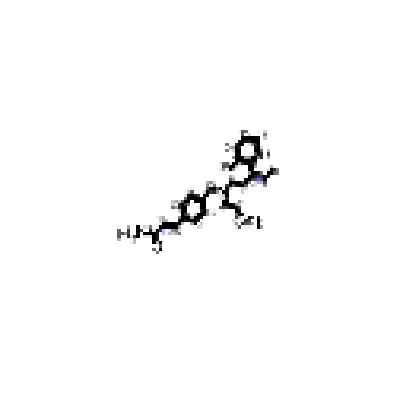 C/C=C(/CCN(CCOCC)Cc1ccc(/C=C/C(N)=O)cc1)c1ccccc1C